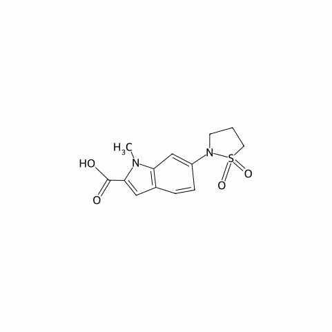 Cn1c(C(=O)O)cc2ccc(N3CCCS3(=O)=O)cc21